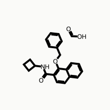 O=C(NC1CCC1)c1ccc2ccccc2c1OCc1ccccc1.O=CO